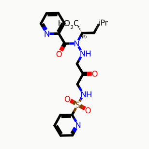 CC(C)C[C@@H](C(=O)O)N(NCC(=O)CNS(=O)(=O)c1ccccn1)C(=O)c1ccccn1